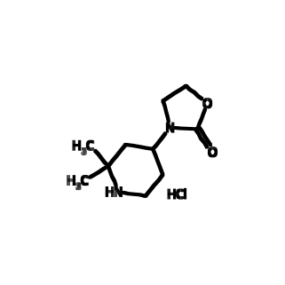 CC1(C)CC(N2CCOC2=O)CCN1.Cl